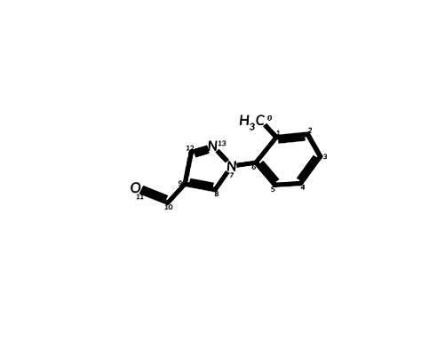 Cc1ccccc1-n1cc(C=O)cn1